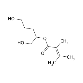 CC(C)=C(C)C(=O)OC(CO)CCCO